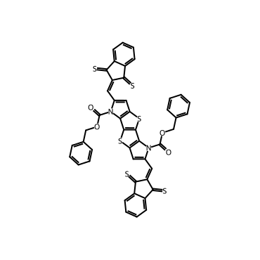 O=C(OCc1ccccc1)n1c(C=C2C(=S)c3ccccc3C2=S)cc2sc3c(sc4cc(C=C5C(=S)c6ccccc6C5=S)n(C(=O)OCc5ccccc5)c43)c21